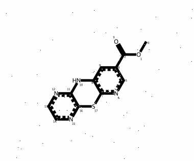 COC(=O)c1cnc2c(c1)Nc1nccnc1S2